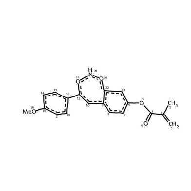 C=C(C)C(=O)Oc1ccc2cc(-c3ccc(OC)cc3)o[nH]oc2c1